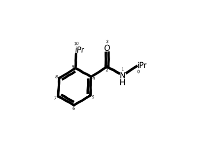 CC(C)NC(=O)c1ccccc1C(C)C